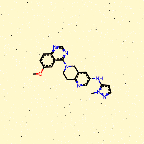 COc1ccc2ncnc(N3CCc4ncc(Nc5ccnn5C)cc4C3)c2c1